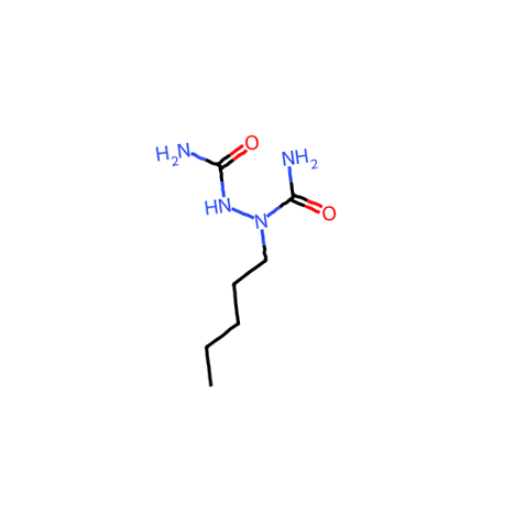 CCCCCN(NC(N)=O)C(N)=O